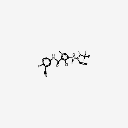 C=C=CN([C@H](C)C(F)(F)F)S(=O)(=O)c1cn(C)c(C(=O)Nc2ccc(F)c(C#N)c2)c1Cl